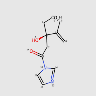 C=C(C)[C@@](O)(CC(=O)O)CC(=O)n1ccnc1